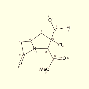 CC[S+]([O-])C1(Cl)CC2CC(=O)N2C1C(=O)OC